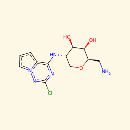 NC[C@H]1OC[C@H](Nc2nc(Cl)nn3cccc23)[C@@H](O)[C@H]1O